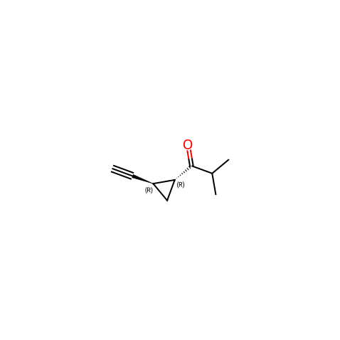 C#C[C@@H]1C[C@H]1C(=O)C(C)C